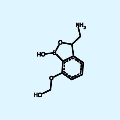 NCC1OB(O)c2c(OCO)cccc21